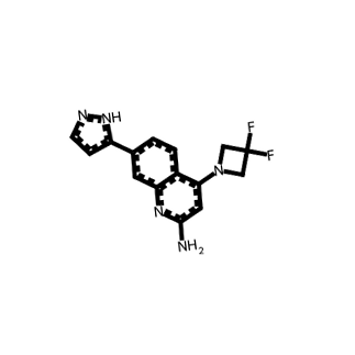 Nc1cc(N2CC(F)(F)C2)c2ccc(-c3ccn[nH]3)cc2n1